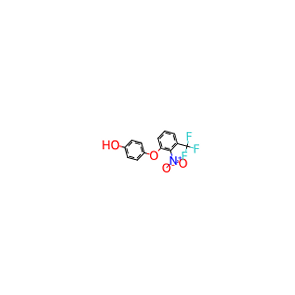 O=[N+]([O-])c1c(Oc2ccc(O)cc2)cccc1C(F)(F)F